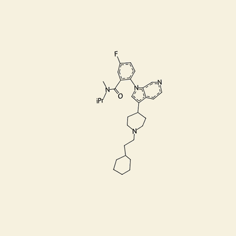 CC(C)N(C)C(=O)c1cc(F)ccc1-n1cc(C2CCN(CCC3CCCCC3)CC2)c2ccncc21